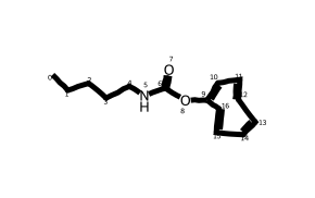 CCCCCNC(=O)OC1=C/C=C/C=C\C=C\1